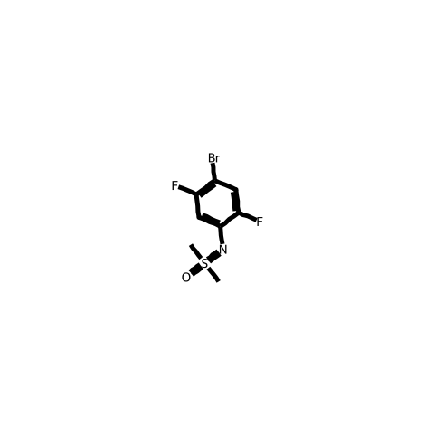 CS(C)(=O)=Nc1cc(F)c(Br)cc1F